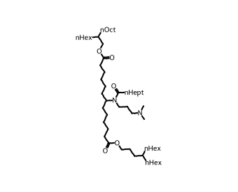 CCCCCCCCC(CCCCCC)COC(=O)CCCCCC(CCCCCC(=O)OCCCC(CCCCCC)CCCCCC)N(CCCN(C)C)C(=O)CCCCCCC